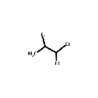 [CH2]C(CC)C(CC)CC